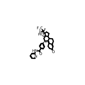 C[C@]12C[C@H](c3ccc(C(=O)Nc4ccccn4)cc3)C3=C4CCC(=O)C=C4CCC3C1CC[C@]2(O)C(F)(F)C(F)(F)F